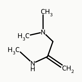 C=C(CN(C)C)NC